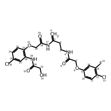 C=C(CCNC(=O)COc1ccc(Cl)c(F)c1)NC(=O)COc1ccc(Cl)cc1NC(=O)CO